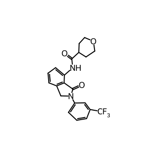 O=C(Nc1cccc2c1C(=O)N(c1cccc(C(F)(F)F)c1)C2)C1CCOCC1